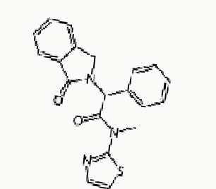 CN(C(=O)C(c1ccccc1)N1Cc2ccccc2C1=O)c1nccs1